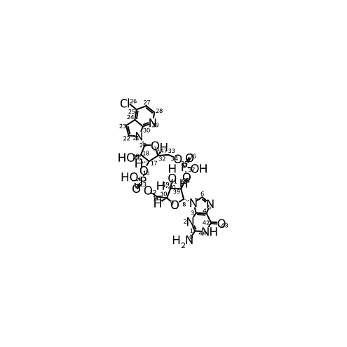 Nc1nc2c(ncn2[C@@H]2O[C@@H]3COP(=O)(O)O[C@H]4[C@@H](O)[C@H](n5ccc6c(Cl)ccnc65)O[C@@H]4COP(=O)(O)O[C@@H]2[C@@H]3O)c(=O)[nH]1